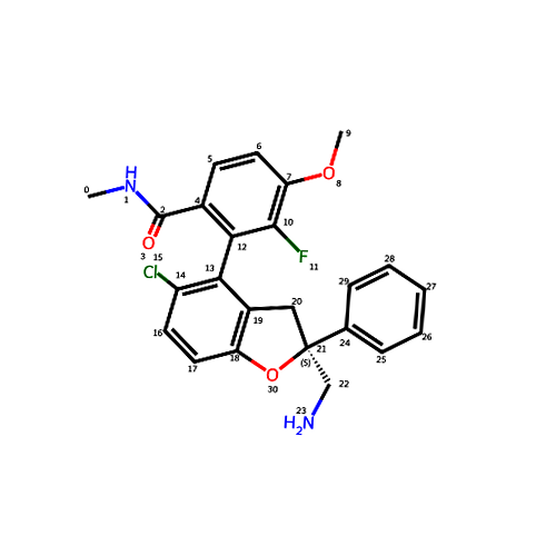 CNC(=O)c1ccc(OC)c(F)c1-c1c(Cl)ccc2c1C[C@@](CN)(c1ccccc1)O2